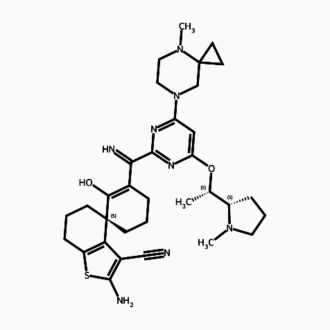 C[C@H](Oc1cc(N2CCN(C)C3(CC3)C2)nc(C(=N)C2=C(O)[C@@]3(CCC2)CCCc2sc(N)c(C#N)c23)n1)[C@@H]1CCCN1C